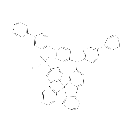 BC(B)(B)c1ccc(C2(c3ccccc3)c3ccccc3-c3ccc(N(c4ccc(-c5ccccc5)cc4)c4ccc(-c5ccc(-c6ccccc6)cc5)cc4)cc32)cc1